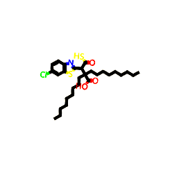 CCCCCCCCCC(CCCCCCCCC)(C(=O)O)C(C(=O)S)c1nc2ccc(Cl)cc2s1